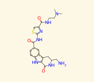 CN(C)CCNC(=O)c1csc(NC(=O)c2ccc3[nH]c4c(c3c2)CC(CN)NC4=O)n1